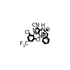 N#Cc1nn(-c2c(Cl)cc(C(F)(F)F)cc2Cl)c(N)c1NS(=O)(=O)Cc1ccccc1